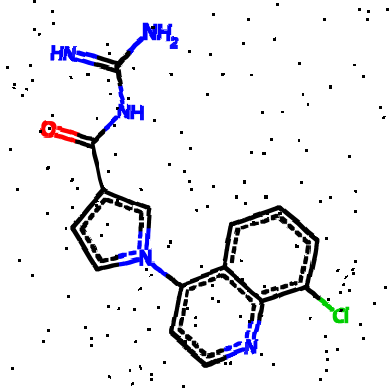 N=C(N)NC(=O)c1ccn(-c2ccnc3c(Cl)cccc23)c1